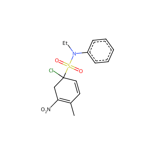 CCN(c1ccccc1)S(=O)(=O)C1(Cl)C=CC(C)=C([N+](=O)[O-])C1